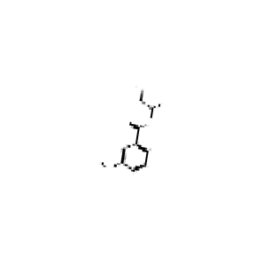 CCC(C)NC(=O)c1cc[c]c(OC)c1